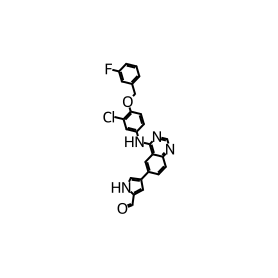 O=Cc1cc(-c2ccc3ncnc(Nc4ccc(OCc5cccc(F)c5)c(Cl)c4)c3c2)c[nH]1